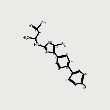 CC(CC(=O)O)Nc1nc(-c2ccc(-c3ccc(F)cc3)cc2)c(Br)s1